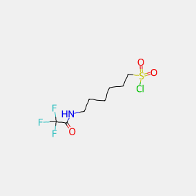 O=C(NCCCCCCS(=O)(=O)Cl)C(F)(F)F